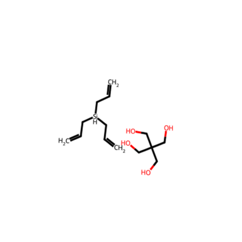 C=CC[SiH](CC=C)CC=C.OCC(CO)(CO)CO